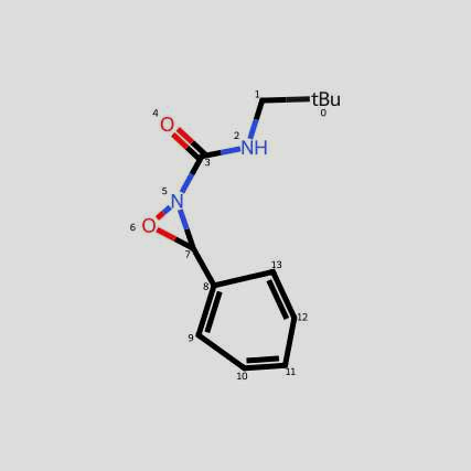 CC(C)(C)CNC(=O)N1OC1c1ccccc1